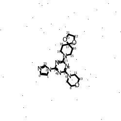 c1cn(-c2nc(N3CCOCC3)nc(N3CCC4(CC3)OCCO4)n2)cn1